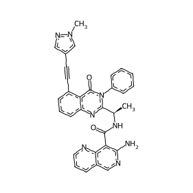 C[C@@H](NC(=O)c1c(N)ncc2cccnc12)c1nc2cccc(C#Cc3cnn(C)c3)c2c(=O)n1-c1ccccc1